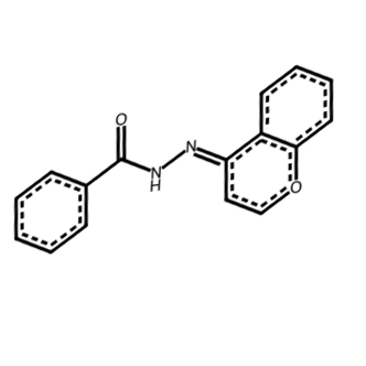 O=C(NN=c1ccoc2ccccc12)c1ccccc1